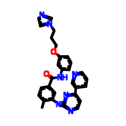 Cc1ccc(C(=O)Nc2cccc(OCCCn3ccnc3)c2)cc1Nc1nccc(-c2cccnc2)n1